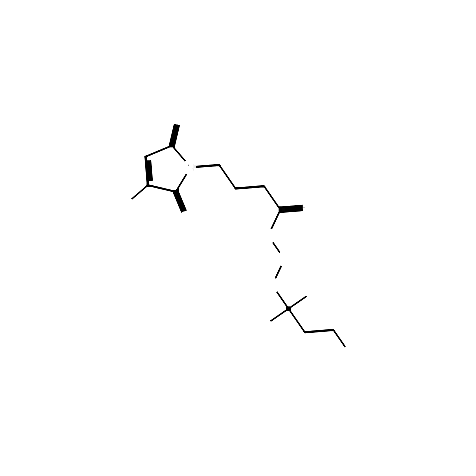 CCCC(C)(C)OOOC(=O)CCCN1C(=O)C=C(C)C1=O